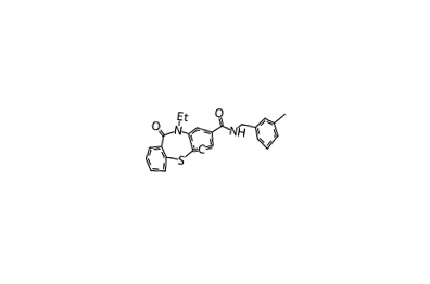 CCN1C(=O)c2ccccc2Sc2ccc(C(=O)NCc3cccc(C)c3)cc21